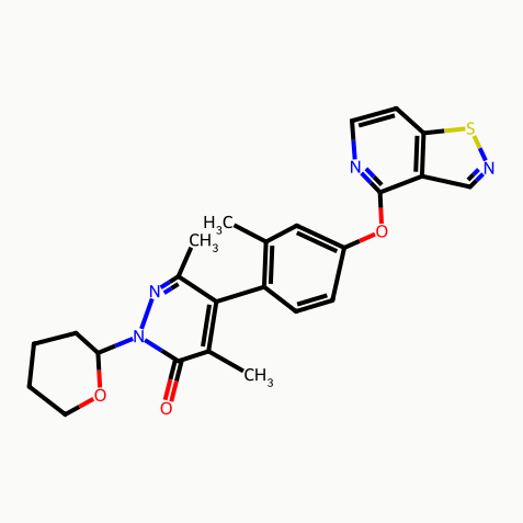 Cc1cc(Oc2nccc3sncc23)ccc1-c1c(C)nn(C2CCCCO2)c(=O)c1C